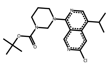 CC(C)c1cnc(N2CCCN(C(=O)OC(C)(C)C)C2)c2cnc(Cl)cc12